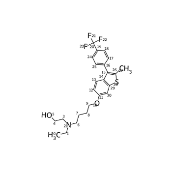 CCN(CCO)CCCCOc1ccc2c(-c3ccc(C(F)(F)F)cc3)c(C)sc2c1